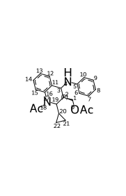 CC(=O)OC[C@@H]1C(Nc2ccccc2)c2ccccc2N(C(C)=O)C1C1CC1